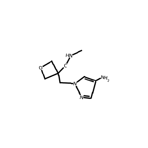 CNCC1(Cn2cc(N)cn2)COC1